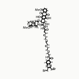 COc1cccc2c1C(=O)c1c(O)c3c(c(O)c1C2=O)C[C@@](O)(C(=O)NNC(=O)CCOCCOCCOCCOCCNC(=O)c1ccc2nc(CBr)c(CBr)nc2c1)C[C@@H]3O[C@H]1C[C@H]2[C@H](O[C@@H]3[C@@H](OC)OCCN32)[C@H](C)O1